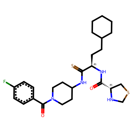 O=C(N[C@H](CCC1CCCCC1)C(=S)NC1CCN(C(=O)c2ccc(F)cc2)CC1)[C@@H]1CSCN1